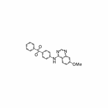 COc1ccc2c(Nc3ccc(S(=O)(=O)c4ccccc4)cc3)ncnc2c1